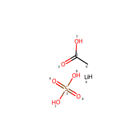 CC(=O)O.O=S(=O)(O)O.[LiH]